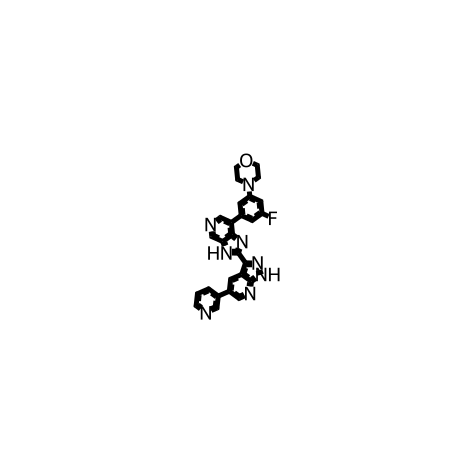 Fc1cc(-c2cncc3[nH]c(-c4n[nH]c5ncc(-c6cccnc6)cc45)nc23)cc(N2CCOCC2)c1